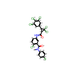 CN(C(=O)c1cc(NC(=O)C2C(c3cc(Cl)c(Cl)c(Cl)c3)C2(Cl)Cl)ccc1Cl)c1ccc(F)cc1